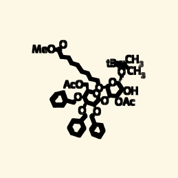 COC(=O)CCCCCCCCO[C@H]1O[C@H](CO[Si](C)(C)C(C)(C)C)[C@@H](O)[C@H](OC(C)=O)[C@H]1O[C@H]1O[C@H](COC(C)=O)[C@@H](OCc2ccccc2)[C@H](OCc2ccccc2)[C@H]1OCc1ccccc1